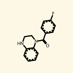 O=C(c1ccc(F)cc1)N1CCNc2ccccc21